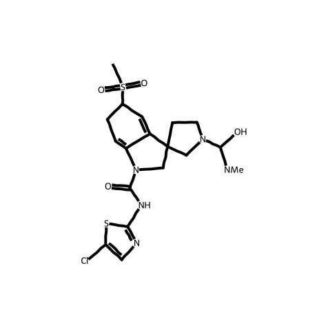 CNC(O)N1CCC2(CN(C(=O)Nc3ncc(Cl)s3)C3=CCC(S(C)(=O)=O)C=C32)C1